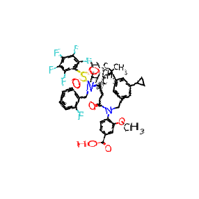 COc1cc(C(=O)O)ccc1N(Cc1cc(C2CC2)cc(C(C)(C)C)c1)C(=O)C[C@@H](C)N(Cc1ccccc1F)S(=O)(=O)c1c(F)c(F)c(F)c(F)c1F